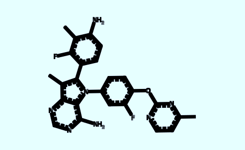 Cc1ccnc(Oc2ccc(-n3c(-c4ccc(N)c(C)c4F)c(C)c4ncnc(N)c43)cc2F)n1